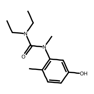 CCN(CC)C(=O)N(C)c1cc(O)ccc1C